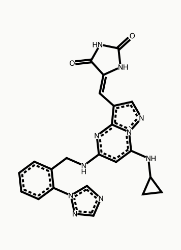 O=C1NC(=O)/C(=C/c2cnn3c(NC4CC4)cc(NCc4ccccc4-n4cncn4)nc23)N1